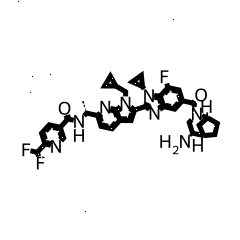 C[C@@H](NC(=O)c1ccc(C(F)F)nc1)c1ccc2cc(-c3nc4cc(C(=O)N5C[C@H](N)[C@@H]6CC[C@H]5C6)cc(F)c4n3C3CC3)n(CC3CC3)c2n1